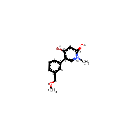 COCc1cccc(-c2cn(C)c(=O)cc2Br)c1